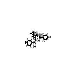 CC1(C2(N)N=C(Nc3ccncc3)N=C(c3ccccc3)N2)CC1